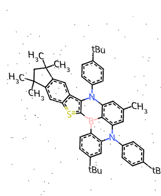 Cc1cc2c3c(c1)N(c1ccc(C(C)(C)C)cc1)c1c(sc4cc5c(cc14)C(C)(C)CC5(C)C)B3c1ccc(C(C)(C)C)cc1N2c1ccc(C(C)(C)C)cc1